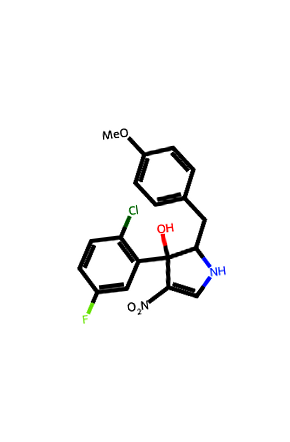 COc1ccc(CC2NC=C([N+](=O)[O-])C2(O)c2cc(F)ccc2Cl)cc1